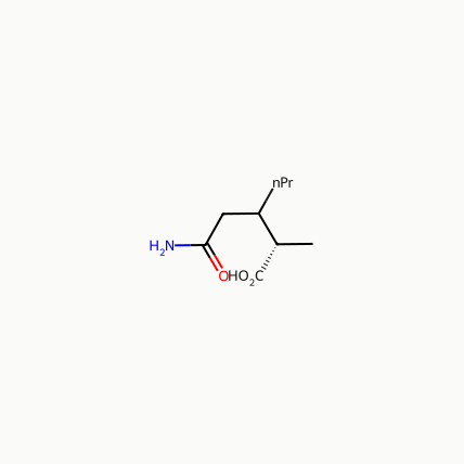 CCCC(CC(N)=O)[C@H](C)C(=O)O